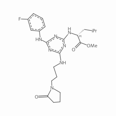 COC(=O)[C@@H](CC(C)C)Nc1nc(NCCCN2CCCC2=O)nc(Nc2cccc(F)c2)n1